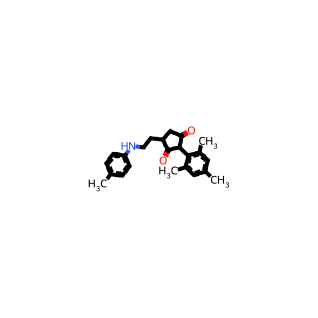 Cc1ccc(NCCC2CC(=O)C(c3c(C)cc(C)cc3C)C2=O)cc1